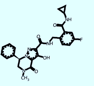 CN1C[C@@H](c2ccccc2)n2nc(C(=O)NCc3ccc(F)cc3C(=O)NC3CC3)c(O)c2C1=O